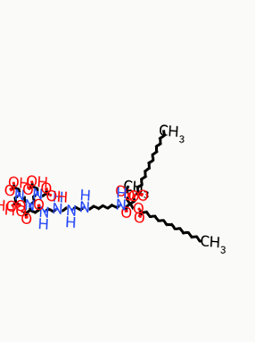 CCCCCCCCCCCCCCCC(=O)OCC(COC(C)=O)(COC(=O)CCCCCCCCCCCCCCC)C(=O)NCCCCCCCNCCNCCNCCNC(=O)CC(C(=O)O)N(CCN(CC(=O)O)CC(=O)O)CCN(CC(=O)O)CC(=O)O